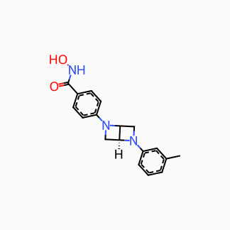 Cc1cccc(N2CC3[C@@H]2CN3c2ccc(C(=O)NO)cc2)c1